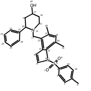 Cc1ccc(S(=O)(=O)n2ccc3c(CN4CCC(O)CC4c4ccccc4)c(C)cc(C)c32)cc1